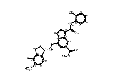 COC(=O)c1cc(CN[C@H]2CCc3c2ccc(C(=O)O)c3C)n2ccc(C(=O)Nc3ccccc3Cl)c2n1